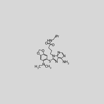 CC(C)CNS(=O)(=O)CCCn1c(Sc2cc3c(cc2N(C)C)OCO3)nc2c(N)ncnc21